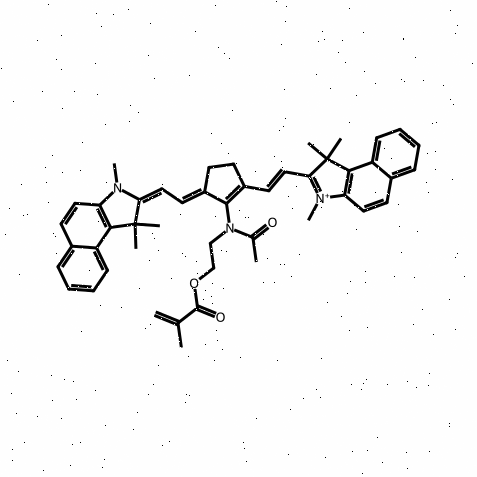 C=C(C)C(=O)OCCN(C(C)=O)C1=C(/C=C/C2=[N+](C)c3ccc4ccccc4c3C2(C)C)CC/C1=C\C=C1\N(C)c2ccc3ccccc3c2C1(C)C